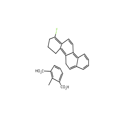 Cc1c(C(=O)O)cccc1C(=O)O.FC1=c2ccc3c(c2CCC1)CC=c1ccccc1=3